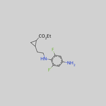 CCOC(=O)C1CC1CCNc1c(F)cc(N)cc1F